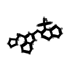 NS(=O)(=O)c1c(Cc2nc(NC3CCCC3)c3ccccc3n2)ccc2ccccc12